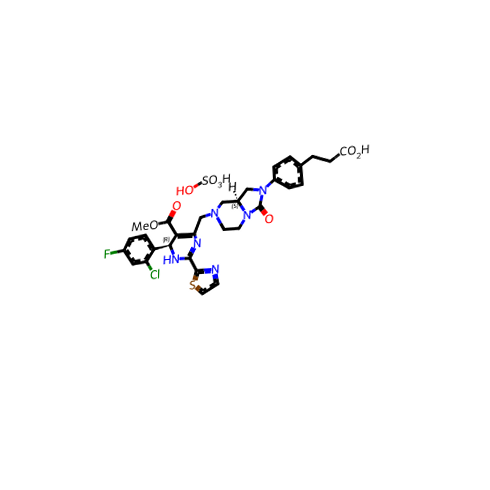 COC(=O)C1=C(CN2CCN3C(=O)N(c4ccc(CCC(=O)O)cc4)C[C@@H]3C2)N=C(c2nccs2)N[C@H]1c1ccc(F)cc1Cl.O=S(=O)(O)O